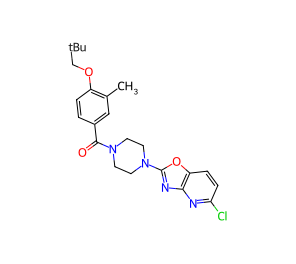 Cc1cc(C(=O)N2CCN(c3nc4nc(Cl)ccc4o3)CC2)ccc1OCC(C)(C)C